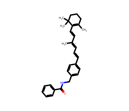 CC1=C(/C=C/C(C)=C/C=C/c2ccc(CNC(=O)c3ccccc3)cc2)C(C)(C)CCC1